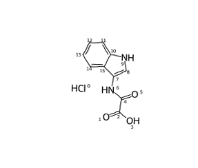 Cl.O=C(O)C(=O)Nc1c[nH]c2ccccc12